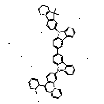 CC1C=CC=CC1C1=CC2C=CC=CC2c2cc(-n3c4ccccc4c4cc(-c5ccc6c(c5)c5ccccc5n6-c5ccc6c(c5)C(C)(C)C5=C6CCCC5)ccc43)ccc21